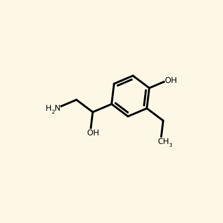 CCc1cc(C(O)CN)ccc1O